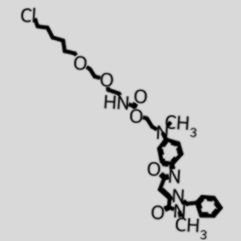 CN1C(=O)/C(=C/c2nc3ccc(N(C)CCOC(=O)NCCOCCOCCCCCCCl)cc3o2)N=C1c1ccccc1